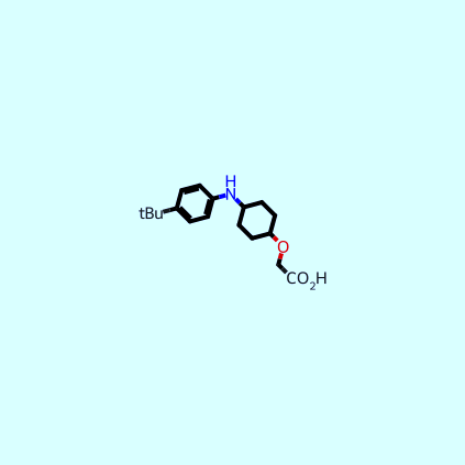 CC(C)(C)c1ccc(NC2CCC(OCC(=O)O)CC2)cc1